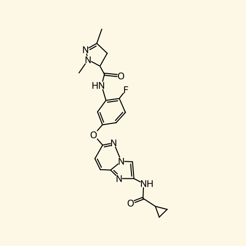 CC1=NN(C)C(C(=O)Nc2cc(Oc3ccc4nc(NC(=O)C5CC5)cn4n3)ccc2F)C1